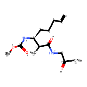 C=CCCC[C@H](NC(=O)OC(C)(C)C)C(OC(C)=O)C(=O)NCC(=O)OC